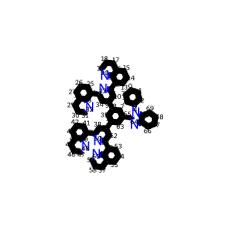 c1ccc(-n2c(-c3cc(-c4cc(-c5cccc6cccnc56)nc(-c5cccc6cccnc56)c4)cc(-c4cc(-c5cccc6cccnc56)nc(-c5cccc6cccnc56)c4)c3)nc3ccccc32)cc1